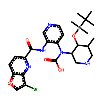 CC1CNCC(N(C(=O)O)c2ccncc2NC(=O)c2ccc3occ(Br)c3n2)C1O[Si](C)(C)C(C)(C)C